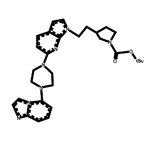 CC(C)(C)OC(=O)N1CCC(CCn2ccc3ccc(N4CCN(c5cccc6nccn56)CC4)nc32)C1